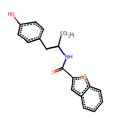 O=C(NC(Cc1ccc(O)cc1)C(=O)O)c1cc2ccccc2s1